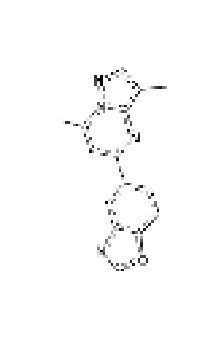 Cc1cnn2c(C)cc(-c3ccc4ocnc4c3)nc12